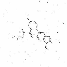 CCOC(=O)C(=O)N1CC(C)CCC1c1ccc2c(cnn2CC)c1